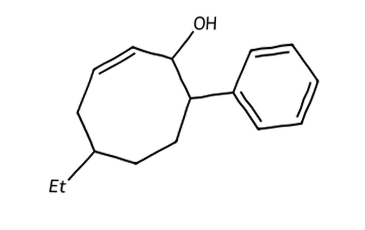 CCC1CC=CC(O)C(c2ccccc2)CC1